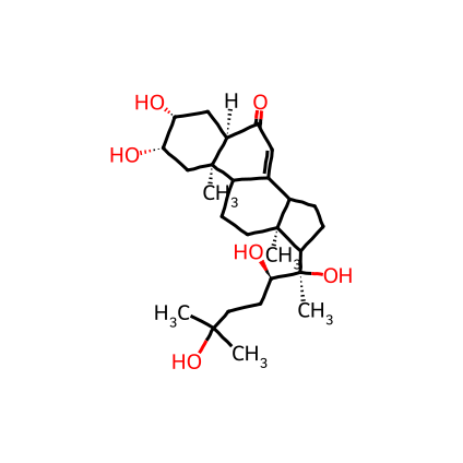 CC(C)(O)CC[C@@H](O)[C@](C)(O)C1CCC2C3=CC(=O)[C@@H]4C[C@@H](O)[C@@H](O)C[C@]4(C)C3CC[C@@]21C